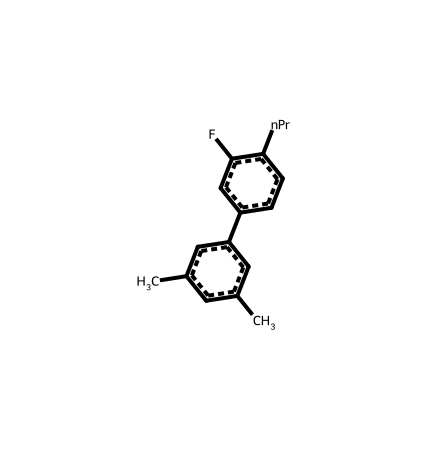 CCCc1ccc(-c2cc(C)cc(C)c2)cc1F